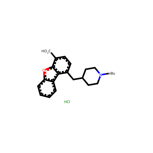 CCCCN1CCC(Cc2ccc(C(=O)O)c3oc4ccccc4c23)CC1.Cl